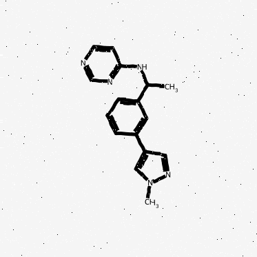 CC(Nc1ccncn1)c1cccc(-c2cnn(C)c2)c1